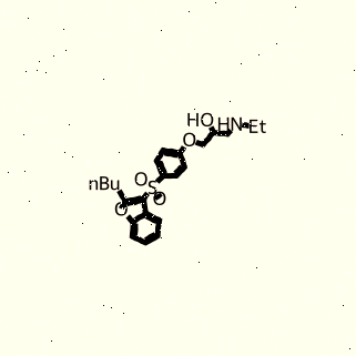 CCCCc1oc2ccccc2c1S(=O)(=O)c1ccc(OCC(O)CNCC)cc1